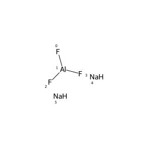 [F][Al]([F])[F].[NaH].[NaH]